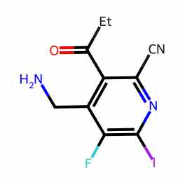 CCC(=O)c1c(C#N)nc(I)c(F)c1CN